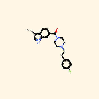 O=Cc1c[nH]c2cc(C(=O)N3CCN(CCc4ccc(F)cc4)CC3)ccc12